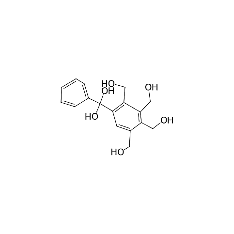 OCc1cc(C(O)(O)c2ccccc2)c(CO)c(CO)c1CO